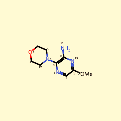 COc1cnc(N2CCOCC2)c(N)n1